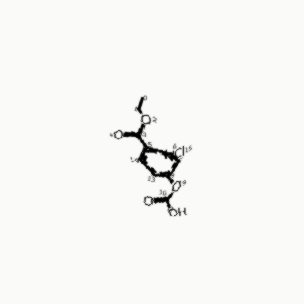 CCOC(=O)c1ccc(OC(=O)O)cc1.Cl